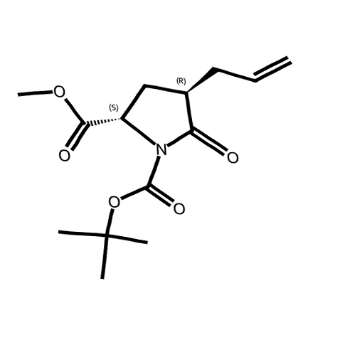 C=CC[C@@H]1C[C@@H](C(=O)OC)N(C(=O)OC(C)(C)C)C1=O